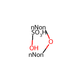 CCCCCCCCCOCCCCCCCCC.O=S(=O)(O)O